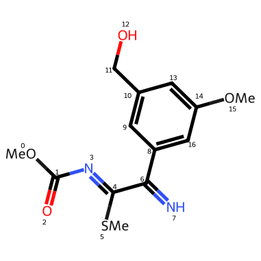 COC(=O)N=C(SC)C(=N)c1cc(CO)cc(OC)c1